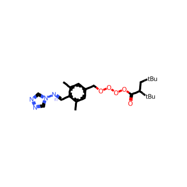 Cc1cc(COOOOC(=O)C(CC(C)(C)C)C(C)(C)C)cc(C)c1/C=N/n1cnnc1